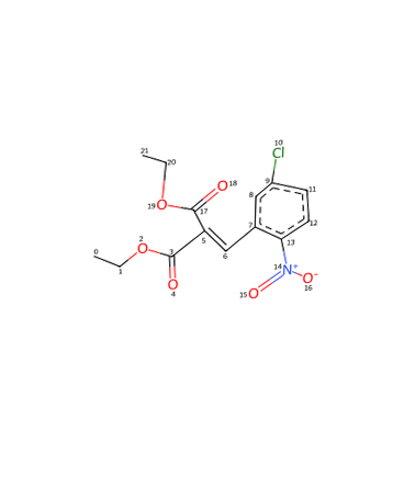 CCOC(=O)C(=Cc1cc(Cl)ccc1[N+](=O)[O-])C(=O)OCC